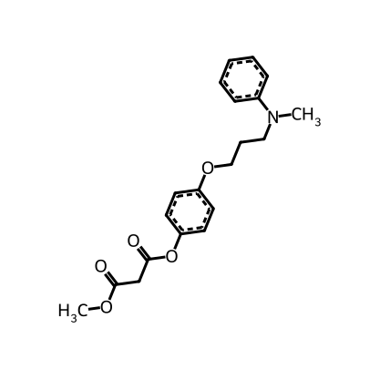 COC(=O)CC(=O)Oc1ccc(OCCCN(C)c2ccccc2)cc1